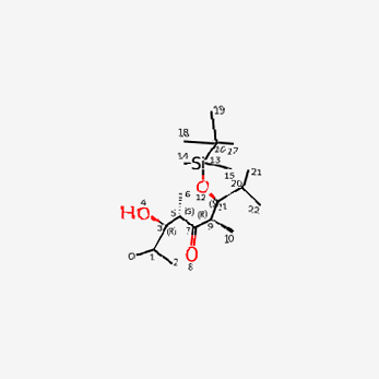 CC(C)[C@@H](O)[C@H](C)C(=O)[C@H](C)[C@@H](O[Si](C)(C)C(C)(C)C)C(C)C